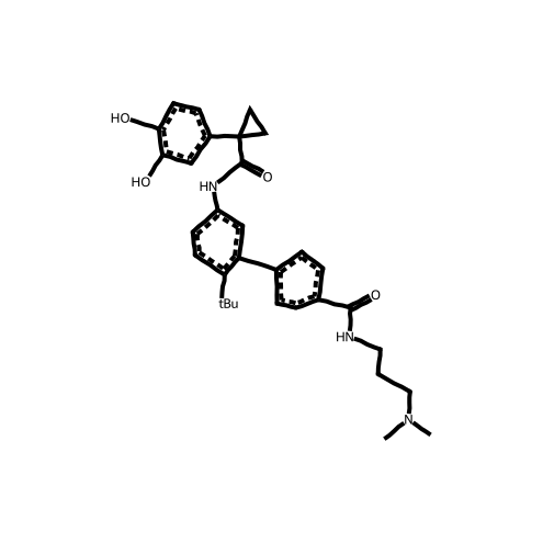 CN(C)CCCNC(=O)c1ccc(-c2cc(NC(=O)C3(c4ccc(O)c(O)c4)CC3)ccc2C(C)(C)C)cc1